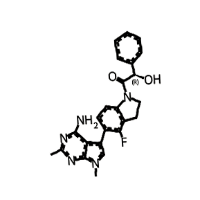 Cc1nc(N)c2c(-c3ccc4c(c3F)CCN4C(=O)[C@H](O)c3ccccc3)cn(C)c2n1